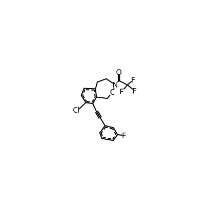 O=C(N1CCc2ccc(Cl)c(C#Cc3cccc(F)c3)c2CC1)C(F)(F)F